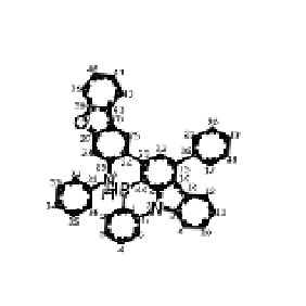 B1c2ccccc2-n2c3ccccc3c3c(-c4ccccc4)cc(-c4cc5c(cc4Nc4ccccc4)oc4ccccc45)c1c32